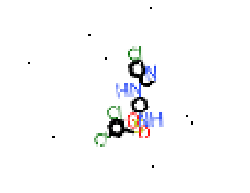 O=S(=O)(Cc1cc(Cl)cc(Cl)c1)NC1CCC(Nc2ccnc3cc(Cl)ccc23)CC1